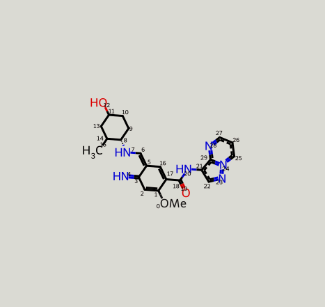 COC1=CC(=N)/C(=C\N[C@H]2CCC(O)CC2C)C=C1C(=O)Nc1cnn2cccnc12